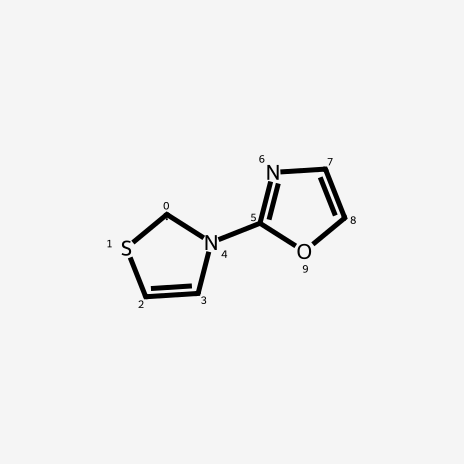 [CH]1SC=CN1c1ncco1